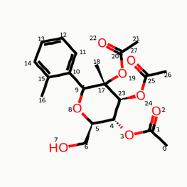 CC(=O)O[C@@H]1[C@@H](CO)O[C](c2ccccc2C)[C@](C)(OC(C)=O)[C@H]1OC(C)=O